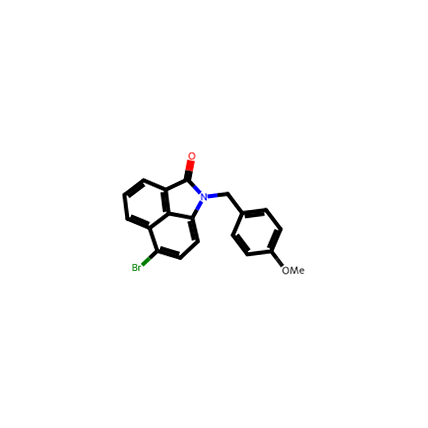 COc1ccc(CN2C(=O)c3cccc4c(Br)ccc2c34)cc1